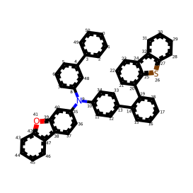 c1ccc(-c2cccc(N(c3ccc(-c4ccccc4-c4cccc5c4sc4ccccc45)cc3)c3ccc4c(c3)oc3ccccc34)c2)cc1